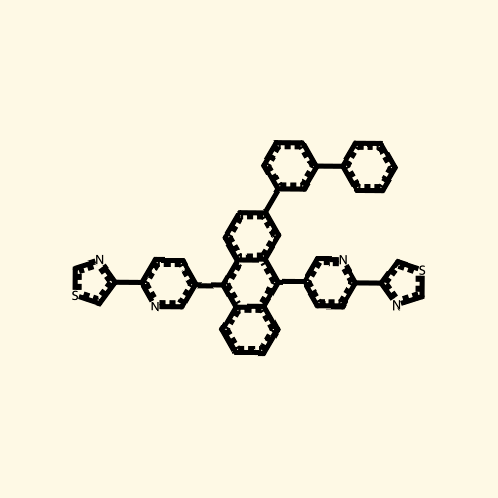 c1ccc(-c2cccc(-c3ccc4c(-c5ccc(-c6cscn6)nc5)c5ccccc5c(-c5ccc(-c6cscn6)nc5)c4c3)c2)cc1